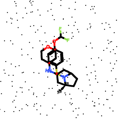 FC(F)Oc1ccc(SN2C3CC[C@@H]2CC(NC2CCOCC2)C3)cc1